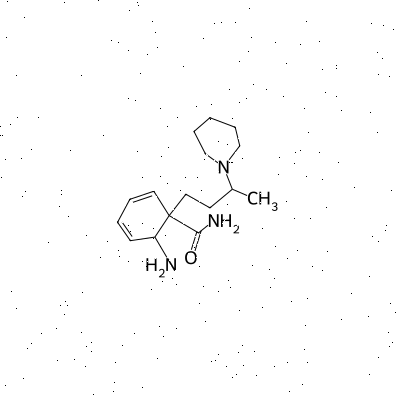 CC(CCC1(C(N)=O)C=CC=CC1N)N1CCCCC1